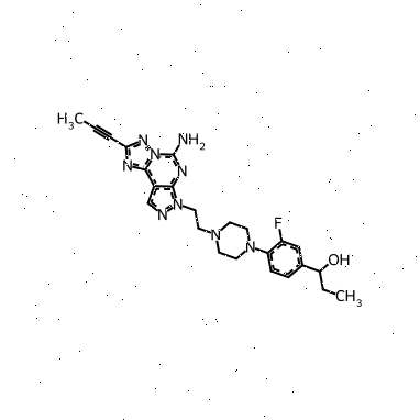 CC#Cc1nc2c3cnn(CCN4CCN(c5ccc(C(O)CC)cc5F)CC4)c3nc(N)n2n1